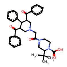 CC(C)(C)C1CN(C(=O)CN2CC(C(=O)c3ccccc3)C(c3ccccc3)C(C(=O)c3ccccc3)C2)CCN1C(=O)O